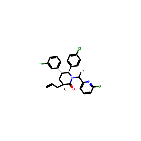 C=CC[C@@]1(C)C[C@H](c2cccc(Cl)c2)[C@@H](c2ccc(Cl)cc2)N(C(CC)c2cccc(Br)n2)C1=O